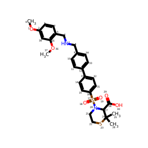 COc1ccc(CNCc2ccc(-c3ccc(S(=O)(=O)N4CCSC(C)(C)C4C(=O)O)cc3)cc2)c(OC)c1